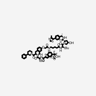 Cc1ncsc1-c1ccc([C@H](C)NC(=O)[C@@H]2C[C@@H](O)CN2C(=O)C(NC(=O)CCCCNC(=O)COc2ccc3c(c2)CN(C(=O)C(NC(=O)c2cc4cc(C(F)(F)P(=O)(O)O)ccc4s2)C(C)(C)C)C(C(=O)N2CCCC(c4ccccc4)C2)C3)C(C)(C)C)cc1